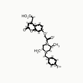 C[C@@H]1CN(C(=O)COc2ccc3c(CC(=O)O)cc(=O)oc3c2)[C@@H](C)CN1Cc1ccc(F)cc1